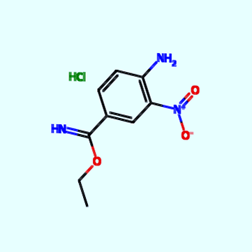 CCOC(=N)c1ccc(N)c([N+](=O)[O-])c1.Cl